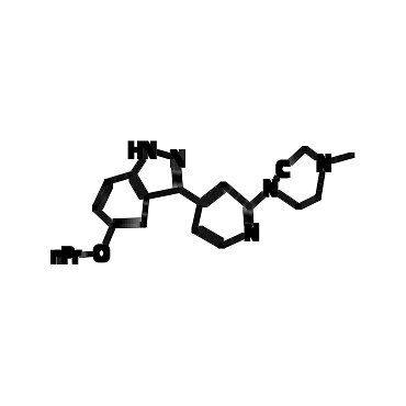 CCCOc1ccc2[nH]nc(-c3ccnc(N4CCN(C)CC4)c3)c2c1